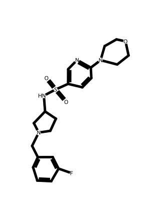 O=S(=O)(NC1CCN(Cc2cccc(F)c2)C1)c1ccc(N2CCOCC2)nc1